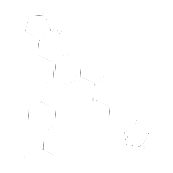 Cc1[nH]cnc1CCNC(=O)c1ccc(CN2CCNC2=O)c(Oc2ccc(C(=O)O)cc2)c1